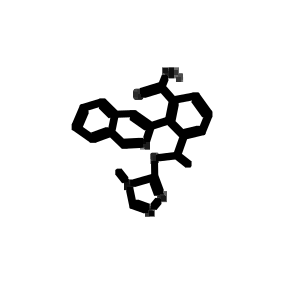 CC(Sc1nncn1C)c1cccc(C(N)=O)c1-c1cc2ccccc2cn1